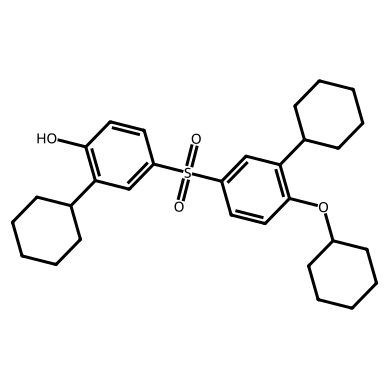 O=S(=O)(c1ccc(O)c(C2CCCCC2)c1)c1ccc(OC2CCCCC2)c(C2CCCCC2)c1